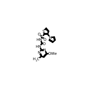 COc1cc(C)nc(NC(=O)NS(=O)(=O)c2sccc2-n2cccc2)n1